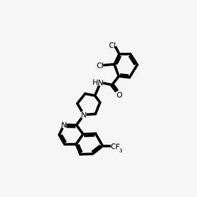 O=C(NC1CCN(c2nccc3ccc(C(F)(F)F)cc23)CC1)c1cccc(Cl)c1Cl